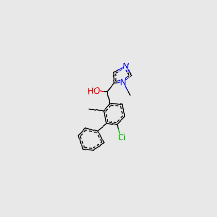 Cc1c(C(O)c2cncn2C)ccc(Cl)c1-c1ccccc1